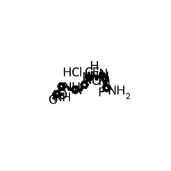 Cl.N[C@@H]1C[C@@H](F)CN(c2ccn3ncc(C(=O)Nc4cn(C5CCC(CN6CCC(CNc7cccc(C8CCC(=O)NC8=O)c7)CC6)CC5)nc4C(F)(F)F)c3n2)C1